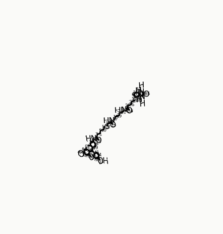 Cc1cc(NC(=O)CCCCCSCC(=O)NCCCCCNC(=O)CCCC[C@@H]2SC[C@@H]3NC(=O)N[C@@H]32)ccc1-c1c2ccc(=O)cc-2oc2cc(O)ccc12